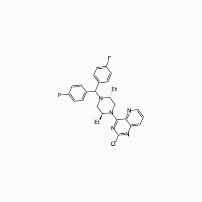 CC[C@H]1CN(C(c2ccc(F)cc2)c2ccc(F)cc2)[C@H](CC)CN1c1nc(Cl)nc2cccnc12